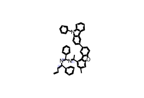 C=C/C=C(/N=C(\N=C(/C)c1cc(C)cc2oc3ccc(-c4ccc5c(c4)c4ccccc4n5-c4ccccc4)cc3c12)c1ccccc1)c1ccccc1